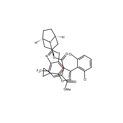 COC(=O)c1cc(C(F)(F)F)c2nc(N3[C@@H]4CC[C@H]3C[C@@H](OC(=O)c3c(-c5c(Cl)cccc5Cl)noc3C3CC3)C4)sc2c1